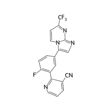 N#Cc1cccnc1-c1cc(-c2cnc3nc(C(F)(F)F)ccn23)ccc1F